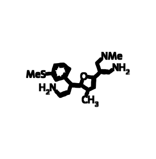 CNC/C(=C\N)C1=CC(C)/C(=C(\C=C/N)c2cccc(SC)c2)O1